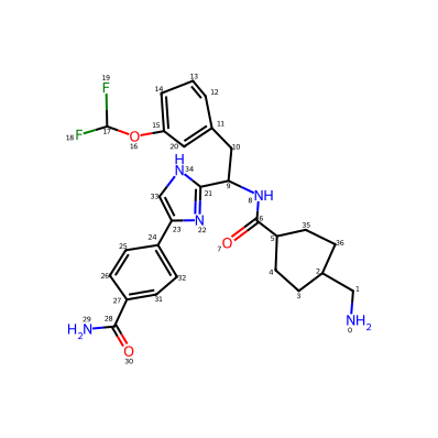 NCC1CCC(C(=O)NC(Cc2cccc(OC(F)F)c2)c2nc(-c3ccc(C(N)=O)cc3)c[nH]2)CC1